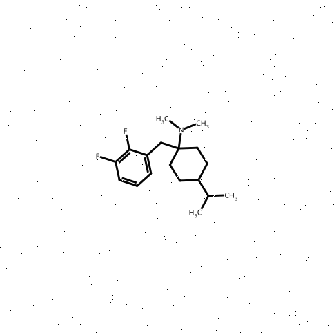 CC(C)C1CCC(Cc2cccc(F)c2F)(N(C)C)CC1